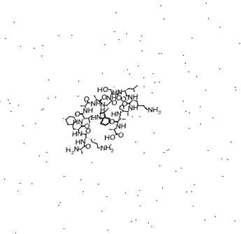 CC(C)C[C@H](NC(=O)[C@@H](NC(=O)[C@H](Cc1c[nH]c2ccccc12)NC(=O)[C@H](C)NC(=O)[C@H](C)NC(=O)[C@@H](NC(=O)[C@H](CC1CCCCC1)NC(=O)[C@H](CCCCN)NC(=O)[C@@H](C)N)C(C)C)[C@@H](C)O)C(=O)N[C@@H](CCCCN)C(=O)N[C@@H](C)C(=O)N[C@@H](C)C(=O)N[C@H](C)C(=O)O